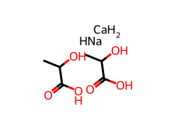 CC(O)C(=O)O.CC(O)C(=O)O.[CaH2].[NaH]